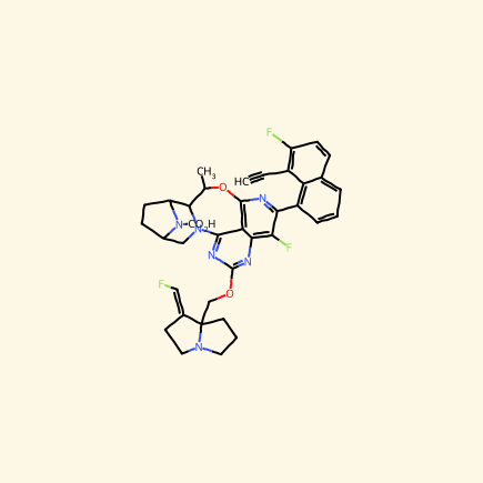 C#Cc1c(F)ccc2cccc(-c3nc4c5c(nc(OCC67CCCN6CCC7=CF)nc5c3F)N3CC5CCC(C3C(C)O4)N5C(=O)O)c12